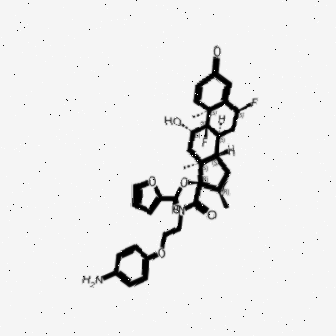 C[C@@H]1C[C@H]2[C@@H]3C[C@H](F)C4=CC(=O)C=C[C@]4(C)[C@@]3(F)[C@@H](O)C[C@]2(C)[C@@]1(OC(=O)c1ccco1)C(=O)NCCOc1ccc(N)cc1